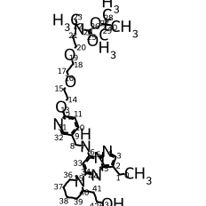 CCc1cnn2c(NCc3ccc(OCCOCCOCCN(C)C(=O)OC(C)(C)C)nc3)cc(N3CCCCC3CCO)nc12